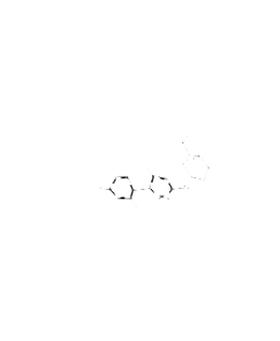 CCN1CCC[C@@H](Nc2cc(C)c(-c3ccc(F)cc3O)nn2)C1